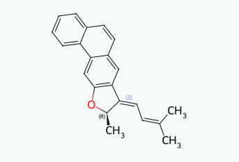 CC(C)=C/C=C1/c2cc3ccc4ccccc4c3cc2O[C@@H]1C